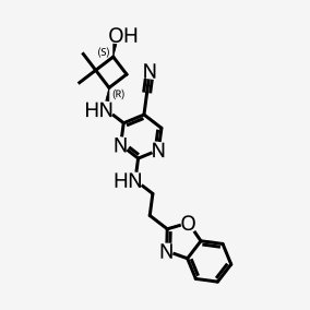 CC1(C)[C@@H](O)C[C@H]1Nc1nc(NCCc2nc3ccccc3o2)ncc1C#N